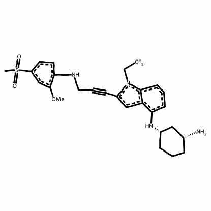 COc1cc(S(C)(=O)=O)ccc1NCC#Cc1cc2c(N[C@H]3CCC[C@@H](N)C3)cccc2n1CC(F)(F)F